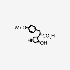 COc1ccc(C[C@H](C(=O)O)[C@H]2CNC[C@H]2O)cc1